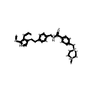 C=Nc1[nH]cc(CCc2ccc(CNC(=O)c3ccc(CN4CCN(C)CC4)cc3)cc2)c1/C=C\C